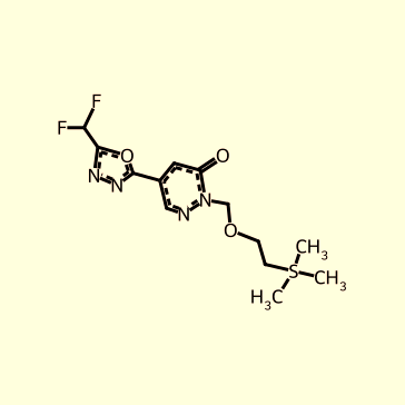 CS(C)(C)CCOCn1ncc(-c2nnc(C(F)F)o2)cc1=O